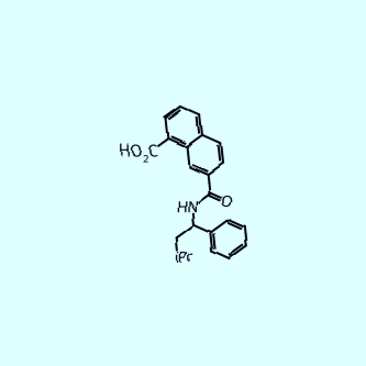 CC(C)CC(NC(=O)c1ccc2cccc(C(=O)O)c2c1)c1ccccc1